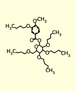 CCCCOCC1OC(OC(=O)c2ccc(OC)c(OCCCC)c2)C(OCCCC)C(OCCCC)C1OCCCC